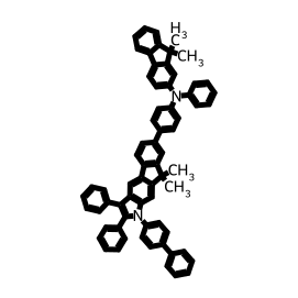 CC1(C)c2ccccc2-c2ccc(N(c3ccccc3)c3ccc(-c4ccc5c(c4)C(C)(C)c4cc6c(cc4-5)c(-c4ccccc4)c(-c4ccccc4)n6-c4ccc(-c5ccccc5)cc4)cc3)cc21